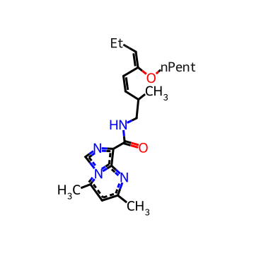 CC/C=C(\C=C/C(C)CNC(=O)c1ncn2c(C)cc(C)nc12)OCCCCC